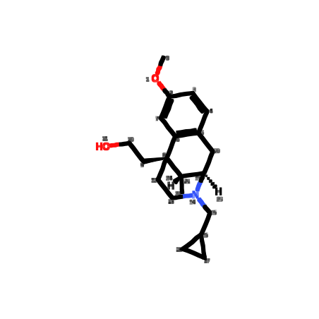 COc1ccc2c(c1)[C@@]1(CCO)CCN(CC3CC3)[C@H](C2)[C@@H]1C